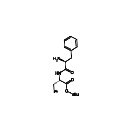 CCCCOC(=O)[C@H](CC(C)C)NC(=O)[C@@H](N)Cc1ccccc1